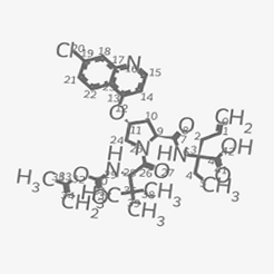 C=CC[C@@](CC)(NC(=O)[C@@H]1C[C@@H](Oc2ccnc3cc(Cl)ccc23)CN1C(=O)[C@@H](NC(=O)OC(=C)C)C(C)(C)C)C(=O)O